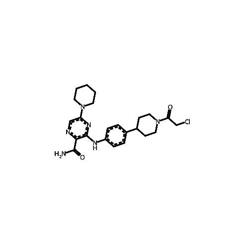 NC(=O)c1ncc(N2CCCCC2)nc1Nc1ccc(C2CCN(C(=O)CCl)CC2)cc1